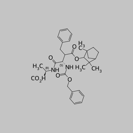 C[C@@H](NC(=O)[C@@H](NC(=O)OCc1ccccc1)C(Cc1ccccc1)C(=O)OC1C2(C)CCC(C2)C1(C)C)C(=O)O